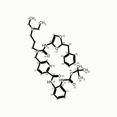 CCN(CC)CCCN(Cc1ccc(C(=O)Nc2ccccc2NC(=O)OC(C)(C)C)nc1)C(=O)NC1=COC(Cc2ccccc2)O1